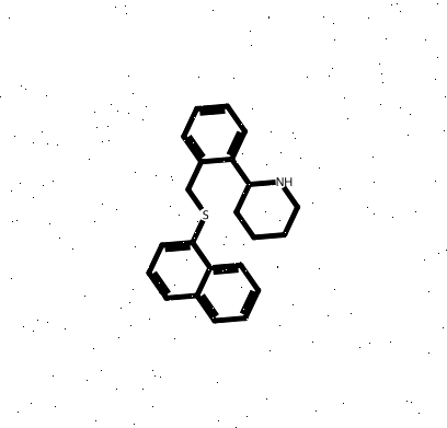 c1ccc(C2CCCCN2)c(CSc2cccc3ccccc23)c1